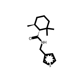 C[C@H]1CCCC(C)(C)[C@@H]1C(=O)NCc1ccsc1